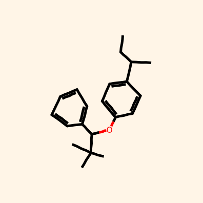 CCC(C)c1ccc(OC(c2ccccc2)C(C)(C)C)cc1